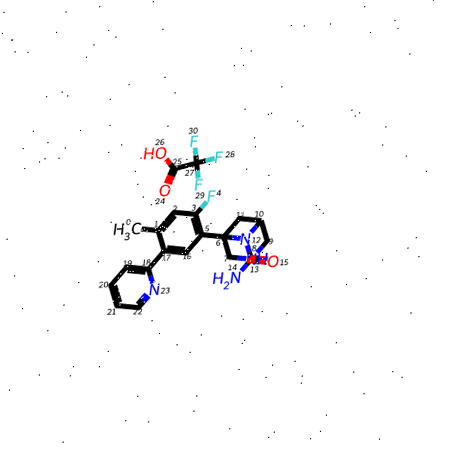 Cc1cc(F)c(C23CNCC(C2)N3C(N)=O)cc1-c1ccccn1.O=C(O)C(F)(F)F